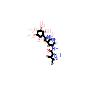 Bc1c(B)c(B)c(-c2cc3cc(NC(=O)c4[nH]nc(C)c4C)cnc3[nH]2)c(B)c1B